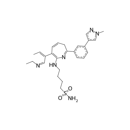 C/C=C(\C=N/CC)C1=C(NCCCCS(N)(=O)=O)N=C(c2cccc(-c3cnn(C)c3)c2)CC=C1